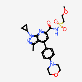 COCCS(=O)(=O)NC(=O)c1cc(-c2ccc(N3CCOCC3)cc2)c2c(C)nn(C3CC3)c2n1